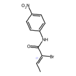 C/C=C(\Br)C(=O)Nc1ccc([N+](=O)[O-])cc1